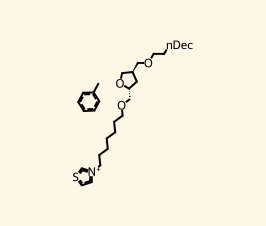 CCCCCCCCCCCCOC[C@@H]1CO[C@@H](COCCCCCCC[n+]2ccsc2)C1.Cc1ccccc1